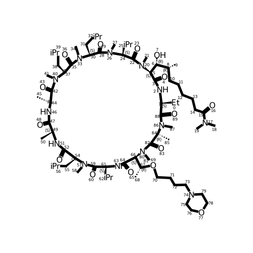 CC[C@@H]1NC(=O)[C@H]([C@H](O)[C@H](C)CCCCCC(=O)N(C)C)N(C)C(=O)[C@H](C(C)C)N(C)C(=O)[C@H](CC(C)C)N(C)C(=O)[C@H](CC(C)C)N(C)C(=O)[C@@H](C)NC(=O)[C@H](C)NC(=O)[C@H](CC(C)C)N(C)C(=O)[C@H](C(C)C)NC(=O)[C@H]([C@@H](C)OCCCCN2CCOCC2)N(C)C(=O)[C@@H](C)N(C)C1=O